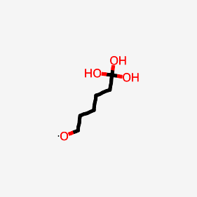 [O]CCCCCC(O)(O)O